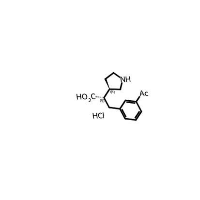 CC(=O)c1cccc(C[C@H](C(=O)O)[C@H]2CCNC2)c1.Cl